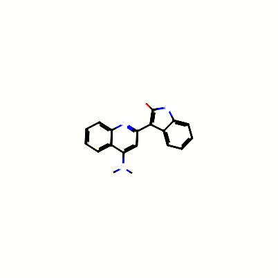 CN(C)c1cc(-c2c(O)[nH]c3ccccc23)nc2ccccc12